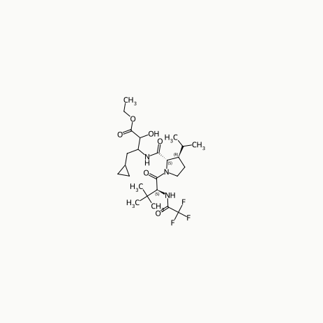 CCOC(=O)C(O)C(CC1CC1)NC(=O)[C@@H]1[C@@H](C(C)C)CCN1C(=O)[C@@H](NC(=O)C(F)(F)F)C(C)(C)C